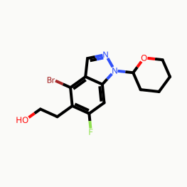 OCCc1c(F)cc2c(cnn2C2CCCCO2)c1Br